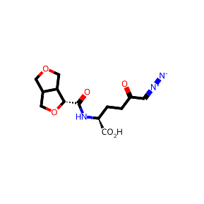 [N-]=[N+]=CC(=O)CC[C@H](NC(=O)[C@@H]1OCC2COCC21)C(=O)O